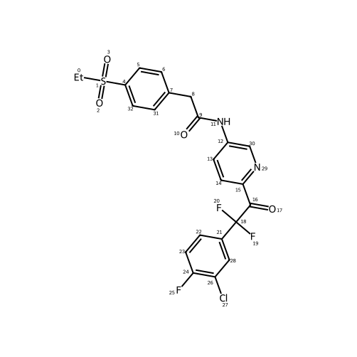 CCS(=O)(=O)c1ccc(CC(=O)Nc2ccc(C(=O)C(F)(F)c3ccc(F)c(Cl)c3)nc2)cc1